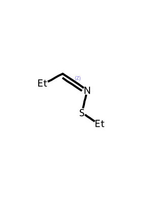 CC/C=N\SCC